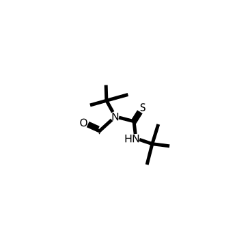 CC(C)(C)NC(=S)N([C]=O)C(C)(C)C